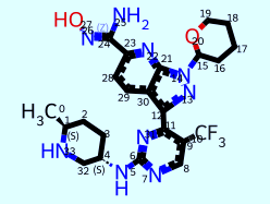 C[C@H]1CC[C@H](Nc2ncc(C(F)(F)F)c(-c3nn(C4CCCCO4)c4nc(/C(N)=N/O)ccc34)n2)CN1